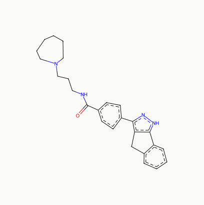 O=C(NCCCN1CCCCCC1)c1ccc(-c2n[nH]c3c2Cc2ccccc2-3)cc1